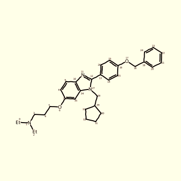 CCN(CC)CCCOc1ccc2nc(-c3ccc(OCc4ccccc4)cc3)n(CC3CCCC3)c2c1